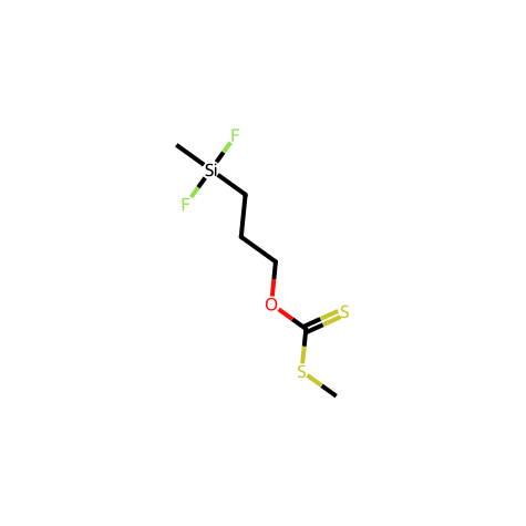 CSC(=S)OCCC[Si](C)(F)F